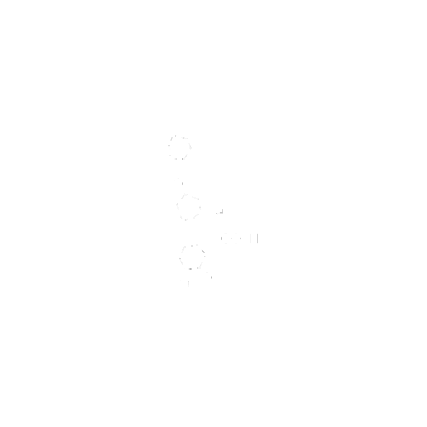 O=C(O)C1C(=O)c2cc(OCc3ccccc3)ccc2C1c1ccc2c(c1)OCO2